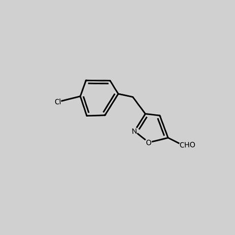 O=Cc1cc(Cc2ccc(Cl)cc2)no1